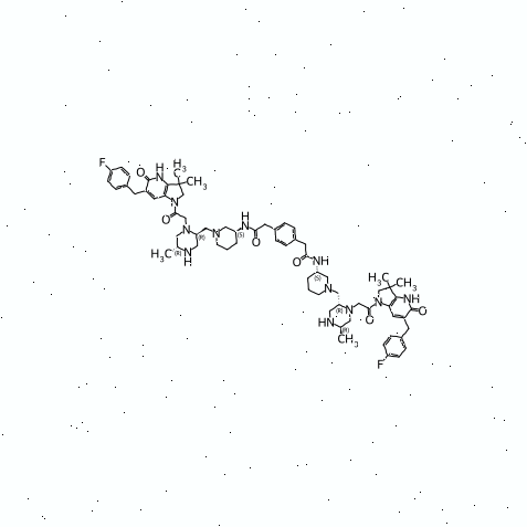 C[C@@H]1CN(CC(=O)N2CC(C)(C)c3[nH]c(=O)c(Cc4ccc(F)cc4)cc32)[C@@H](CN2CCC[C@H](NC(=O)Cc3ccc(CC(=O)N[C@H]4CCCN(C[C@H]5CN[C@H](C)CN5CC(=O)N5CC(C)(C)c6[nH]c(=O)c(Cc7ccc(F)cc7)cc65)C4)cc3)C2)CN1